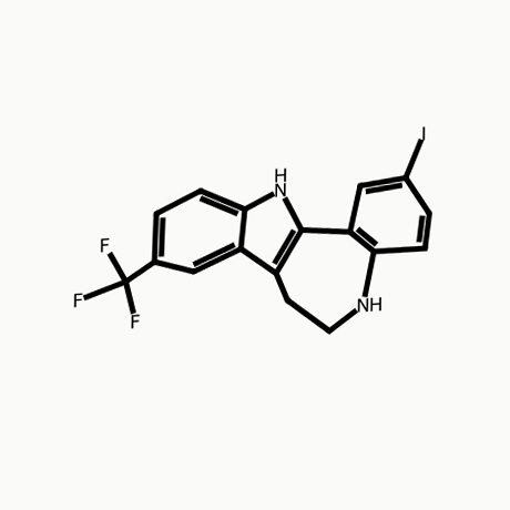 FC(F)(F)c1ccc2[nH]c3c(c2c1)CCNc1ccc(I)cc1-3